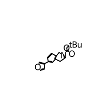 CC(C)(C)OC(=O)N1CCc2cc(-c3ccoc3)ccc2C1